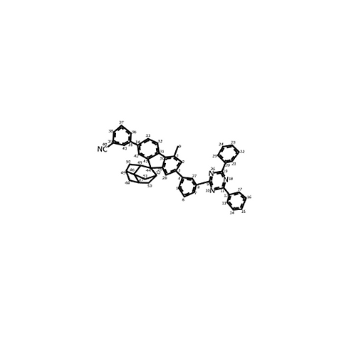 Cc1cc(-c2cccc(-c3nc(-c4ccccc4)nc(-c4ccccc4)n3)c2)cc2c1-c1ccc(-c3cccc(C#N)c3)cc1C21C2CC3CC(C2)CC1C3